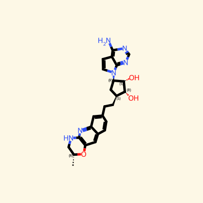 C[C@@H]1CNc2nc3cc(CC[C@H]4C[C@@H](n5ccc6c(N)ncnc65)[C@H](O)[C@@H]4O)ccc3cc2O1